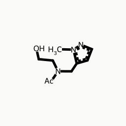 CC(=O)N(CCO)Cc1ccnn1C